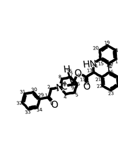 O=C(C[N+]12CCC(CC1)[C@@H](OC(=O)C(Nc1ccccc1)c1ccccc1F)C2)c1ccccc1